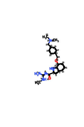 CNC(N)=NC(=O)c1cc2cccc(OCc3ccc(CN(C)C)cc3)c2[nH]1